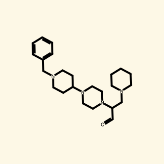 O=CC(CN1CCCCC1)N1CCN(C2CCN(Cc3ccccc3)CC2)CC1